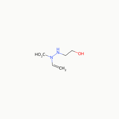 C=CN(NCCO)C(=O)O